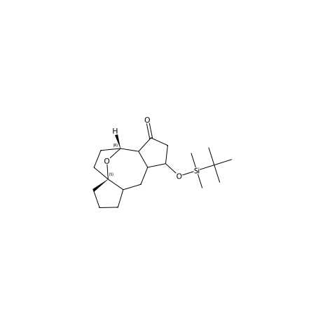 CC(C)(C)[Si](C)(C)OC1CC(=O)C2C1CC1CCC[C@]13CC[C@H]2O3